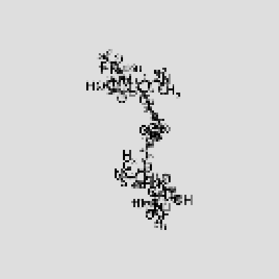 Cc1ncsc1-c1ccc(CNC(=O)[C@@H]2C[C@@H](O)CN2C(=O)[C@@H](NC(=O)C2(F)CC2)C(C)(C)C)c(OCCCCCS(=O)(=O)OS(=O)(=O)CCCCCOc2cc(-c3scnc3C)ccc2CNC(=O)[C@@H]2C[C@@H](O)CN2C(=O)[C@@H](NC(=O)C2(F)CC2)C(C)(C)C)c1